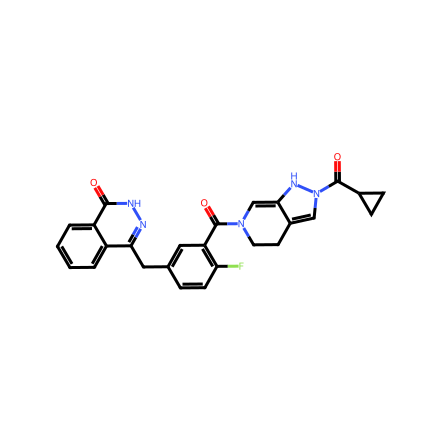 O=C(c1cc(Cc2n[nH]c(=O)c3ccccc23)ccc1F)N1C=C2NN(C(=O)C3CC3)C=C2CC1